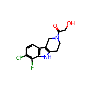 O=C(CO)N1CCc2[nH]c3c(F)c(Cl)ccc3c2C1